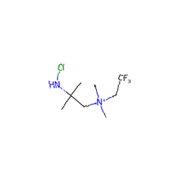 CC(C)(C[N+](C)(C)CC(F)(F)F)NCl